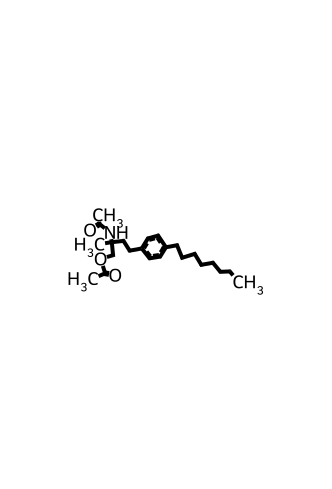 CCCCCCCCc1ccc(CCC(C)(COC(C)=O)NC(C)=O)cc1